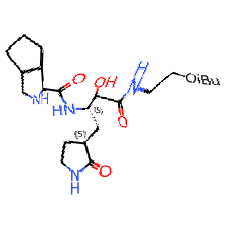 CC(C)COCCNC(=O)C(O)[C@H](C[C@@H]1CCNC1=O)NC(=O)C1NCC2CCCC21